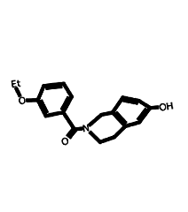 CCOc1cccc(C(=O)N2CCc3cc(O)ccc3C2)c1